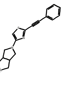 CN1CC2CN(c3[c]sc(C#Cc4ccccc4)n3)CC2C1